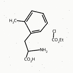 CCOC(=O)Cl.Cc1ccccc1CC(N)C(=O)O